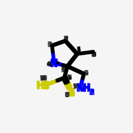 CC1CC[N]C1(CN)C(=S)S